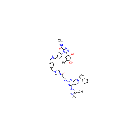 CC(=O)N1CCN(c2nc(NCCC(=O)N3CCN(Cc4ccc(CN(C)Cc5ccc(-n6c(C(=O)NCC(F)(F)F)nnc6-c6cc(C(C)C)c(O)cc6O)cc5)cc4)CC3)nc3c2CCN(c2cccc4ccccc24)C3)C[C@H]1CC#N